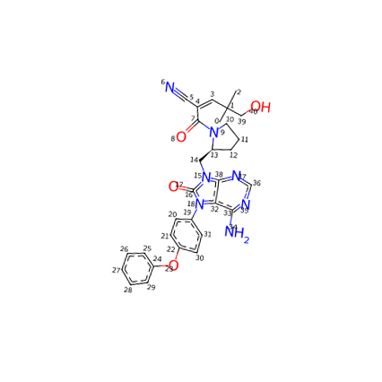 CC(C)(/C=C(/C#N)C(=O)N1CCC[C@H]1Cn1c(=O)n(-c2ccc(Oc3ccccc3)cc2)c2c(N)ncnc21)CO